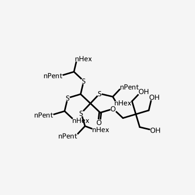 CCCCCCC(CCCCC)SC(SC(CCCCC)CCCCCC)C(SC(CCCCC)CCCCCC)(SC(CCCCC)CCCCCC)C(=O)OCC(CO)(CO)CO